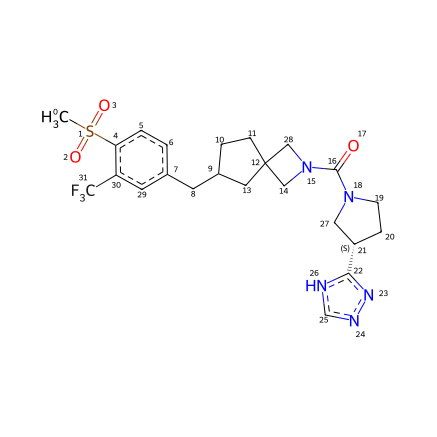 CS(=O)(=O)c1ccc(CC2CCC3(C2)CN(C(=O)N2CC[C@H](c4nnc[nH]4)C2)C3)cc1C(F)(F)F